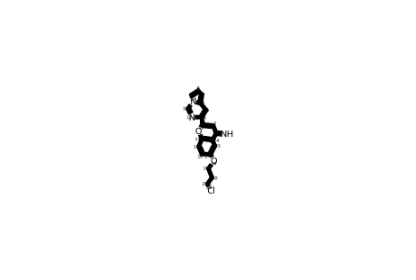 N=c1cc(-c2cc3cccn3cn2)oc2ccc(OCCCCl)cc12